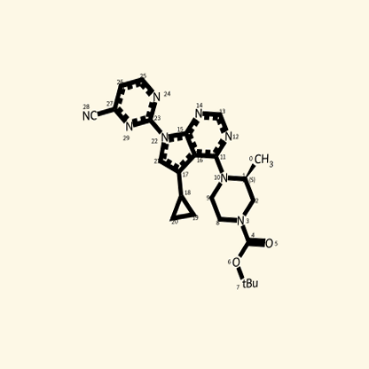 C[C@H]1CN(C(=O)OC(C)(C)C)CCN1c1ncnc2c1c(C1CC1)cn2-c1nccc(C#N)n1